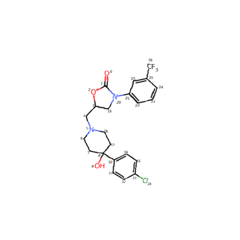 O=C1OC(CN2CCC(O)(c3ccc(Cl)cc3)CC2)CN1c1cccc(C(F)(F)F)c1